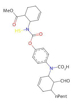 CCCCCC1CC=CC(N(C(=O)O)c2ccc(OC(=O)N(S)C3C=CCCC3C(=O)OC)cc2)C1C=O